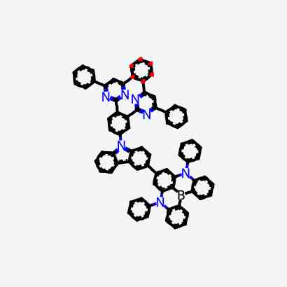 c1ccc(-c2cc(-c3ccccc3)nc(-c3ccc(-n4c5ccccc5c5cc(-c6cc7c8c(c6)N(c6ccccc6)c6ccccc6B8c6ccccc6N7c6ccccc6)ccc54)cc3-c3nc(-c4ccccc4)cc(-c4ccccc4)n3)n2)cc1